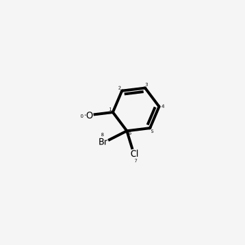 [O]C1C=CC=CC1(Cl)Br